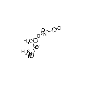 Cc1cc(OCc2coc(C=Cc3ccc(Cl)cc3)n2)ccc1C[S+]([O-])CCc1ccnn1C